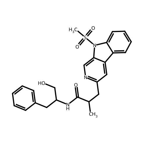 CC(Cc1cc2c3ccccc3n(S(C)(=O)=O)c2cn1)C(=O)NC(CO)Cc1ccccc1